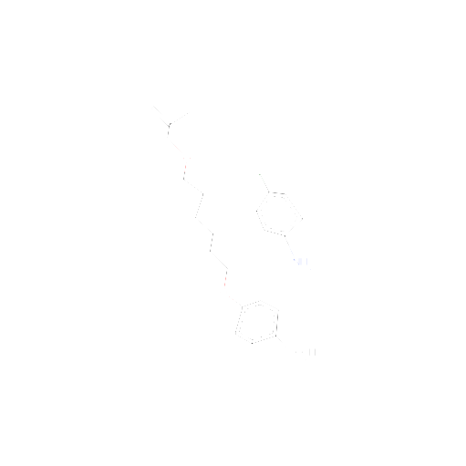 C=C(C)COCCCCCCOc1ccc(C(=O)O)cc1.Nc1ccc(Cl)cc1